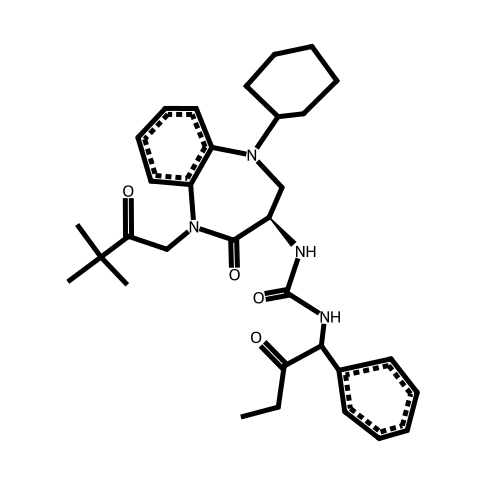 CCC(=O)C(NC(=O)N[C@@H]1CN(C2CCCCC2)c2ccccc2N(CC(=O)C(C)(C)C)C1=O)c1ccccc1